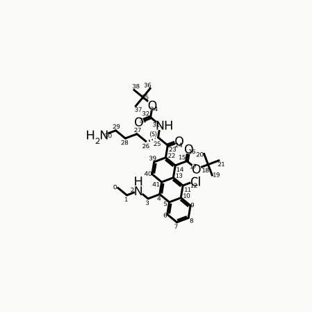 CCNCc1c2ccccc2c(Cl)c2c(C(=O)OC(C)(C)C)c(C(=O)[C@H](CCCCN)NC(=O)OC(C)(C)C)ccc12